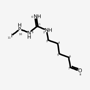 N=C(NCCCCC=O)NPI